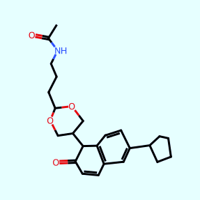 CC(=O)NCCCC1OCC(C2C(=O)C=Cc3cc(C4CCCC4)ccc32)CO1